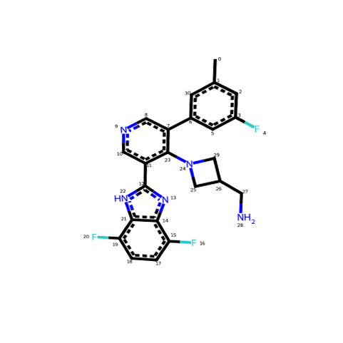 Cc1cc(F)cc(-c2cncc(-c3nc4c(F)ccc(F)c4[nH]3)c2N2CC(CN)C2)c1